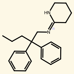 CCCC(C/N=C1/CCCCN1)(c1ccccc1)c1ccccc1